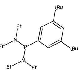 CCN(CC)P(c1cc(C(C)(C)C)cc(C(C)(C)C)c1)N(CC)CC